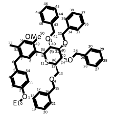 CCOc1ccc(Cc2cc([C@@H]3S[C@H](COCc4ccccc4)[C@@H](OCc4ccccc4)[C@H](OCc4ccccc4)[C@H]3OCc3ccccc3)c(OC)cc2C)cc1